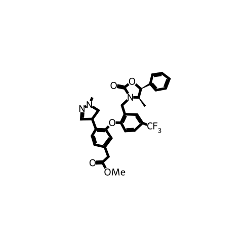 COC(=O)Cc1ccc(C2C=NN(C)C2)c(Oc2ccc(C(F)(F)F)cc2CN2C(=O)O[C@@H](c3ccccc3)[C@H]2C)c1